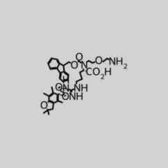 Cc1c(C)c(S(=O)(=O)NC(=N)NCCC[C@@H](C(=O)O)N(CCOCCN)C(=O)OCC2c3ccccc3-c3ccccc32)c(C)c2c1OC(C)(C)C2